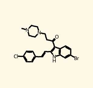 CN1CCN(CCC(=O)c2c(/C=C/c3ccc(Cl)cc3)[nH]c3cc(Br)ccc23)CC1